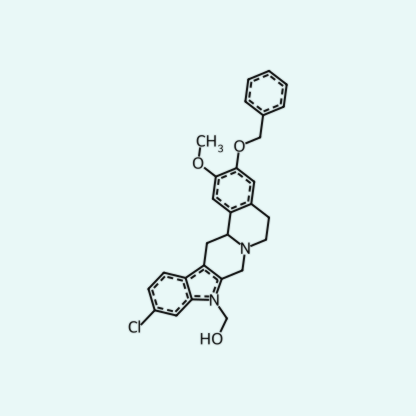 COc1cc2c(cc1OCc1ccccc1)CCN1Cc3c(c4ccc(Cl)cc4n3CO)CC21